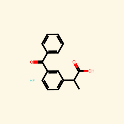 CC(C(=O)O)c1cccc(C(=O)c2ccccc2)c1.F